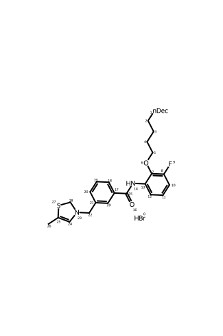 Br.CCCCCCCCCCCCCCOc1c(F)cccc1NC(=O)c1cccc(CN2C=C(C)SC2)c1